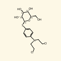 OC[C@H]1O[C@@H](Sc2ccc(N(CCCl)CCCl)cc2)[C@H](O)[C@@H](O)[C@@H]1O